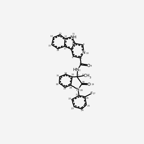 CC1(NC(=O)c2cc3c(cn2)[nH]c2ccccc23)C(=O)N(c2ccccc2F)c2ccccc21